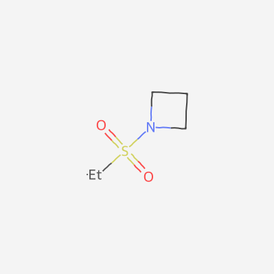 C[CH]S(=O)(=O)N1CCC1